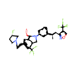 C[C@H](Cc1nocc1C(F)(F)F)c1cccc(N2Cc3c(cc(CN4CC[C@H](F)C4)cc3C(F)(F)F)C2=O)c1